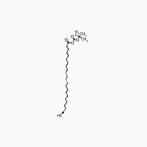 C#CCCCCCCCCCCCCCCCCCCCCC(=O)OC(=O)OC(C)(C)C